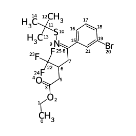 CCOC(=O)CC(C/C(=N/SC(C)(C)C)c1cccc(Br)c1)C(F)(F)F